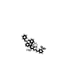 CCC1(c2cccc(N(Cc3ccccc3)Cc3ccccc3)c2)CC(O)=C(CCCc2cccc([N+](=O)[O-])c2)C(=O)O1